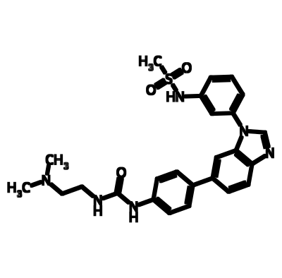 CN(C)CCNC(=O)Nc1ccc(-c2ccc3ncn(-c4cccc(NS(C)(=O)=O)c4)c3c2)cc1